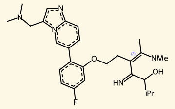 CN/C(C)=C(/CCOc1cc(F)ccc1-c1ccc2ncc(CN(C)C)n2c1)C(=N)C(O)C(C)C